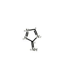 N=C1N=CN=N1